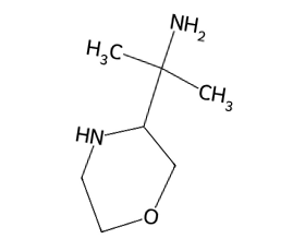 CC(C)(N)C1COCCN1